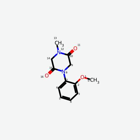 COc1ccccc1N1CC(=O)N(C)CC1=O